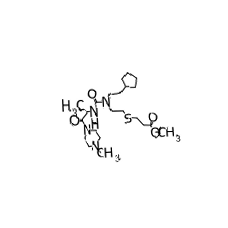 COC(=O)CCSCCN(CCC1CCCC1)C(=O)NC(C)C(=O)N1CCN(C)CC1